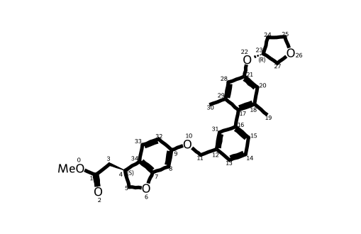 COC(=O)C[C@@H]1COc2cc(OCc3cccc(-c4c(C)cc(O[C@@H]5CCOC5)cc4C)c3)ccc21